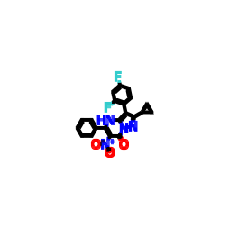 O=c1c([N+](=O)[O-])c(-c2ccccc2)[nH]c2c(-c3ccc(F)cc3F)c(C3CC3)nn12